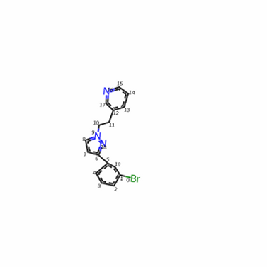 Brc1cccc(-c2ccn(CCc3cccnc3)n2)c1